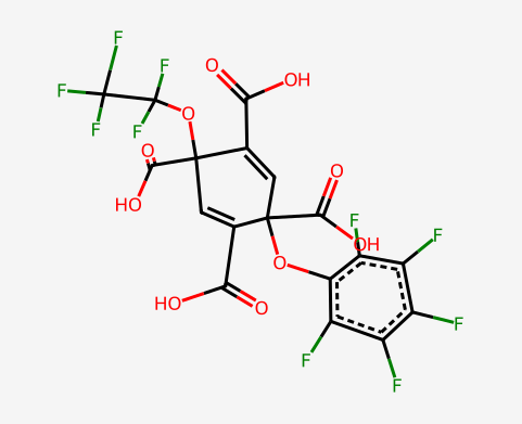 O=C(O)C1=CC(OC(F)(F)C(F)(F)F)(C(=O)O)C(C(=O)O)=CC1(Oc1c(F)c(F)c(F)c(F)c1F)C(=O)O